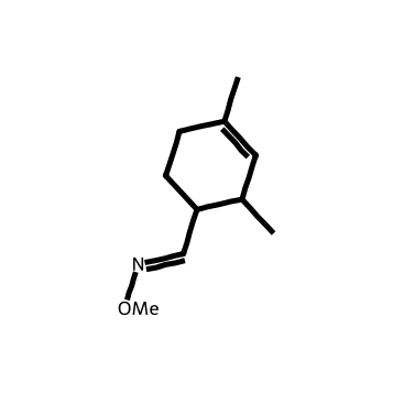 CO/N=C/C1CCC(C)=CC1C